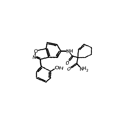 NC(=O)C1(C(=O)Nc2ccc3onc(-c4ccccc4O)c3c2)C=CCCC1